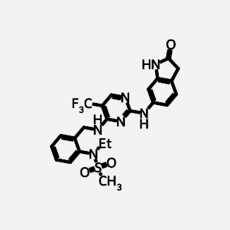 CCN(c1ccccc1CNc1nc(Nc2ccc3c(c2)NC(=O)C3)ncc1C(F)(F)F)S(C)(=O)=O